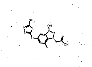 Cc1cc(Oc2nnc(N)s2)cc2c1[C@H](CC(=O)O)OB2O